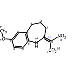 O=C(O)/C(=C1/CCCc2cc(OC(F)(F)F)ccc2N1)[N+](=O)[O-]